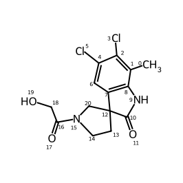 Cc1c(Cl)c(Cl)cc2c1NC(=O)C21CCN(C(=O)CO)C1